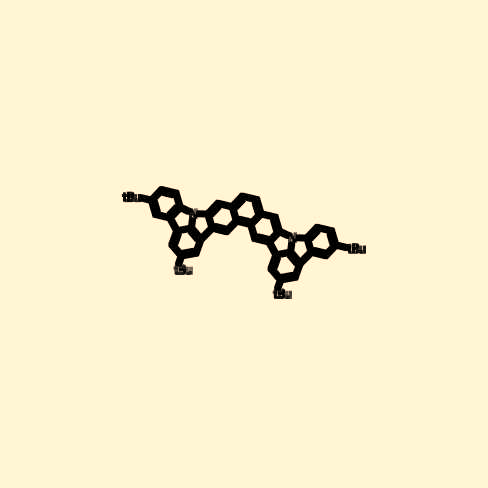 CC(C)(C)c1ccc2c(c1)c1cc(C(C)(C)C)cc3c4cc5c(ccc6cc7c(cc65)c5cc(C(C)(C)C)cc6c8cc(C(C)(C)C)ccc8n7c65)cc4n2c13